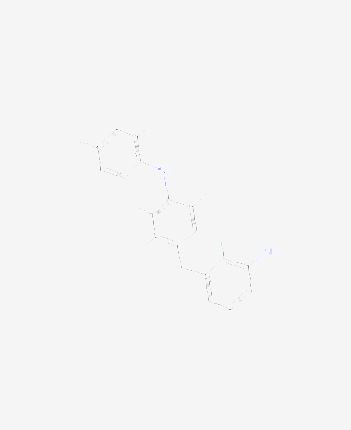 Nc1cccc(Cc2cc(C(=O)O)c(Nc3ccc(I)cc3F)c(F)c2F)c1F